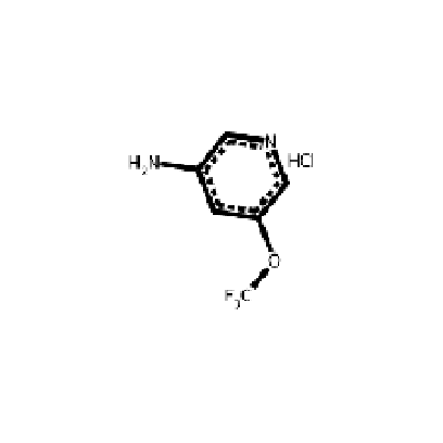 Cl.Nc1cncc(OC(F)(F)F)c1